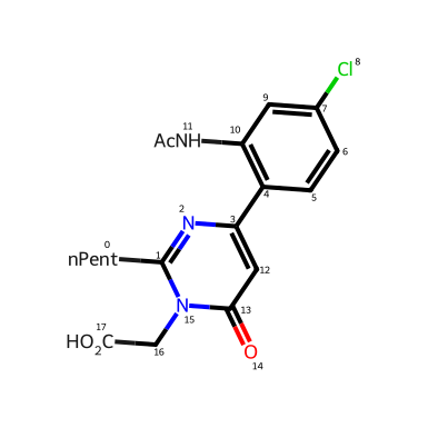 CCCCCc1nc(-c2ccc(Cl)cc2NC(C)=O)cc(=O)n1CC(=O)O